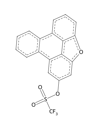 O=S(=O)(Oc1cc2oc3cccc4c5ccccc5c(c1)c2c34)C(F)(F)F